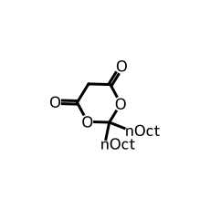 CCCCCCCCC1(CCCCCCCC)OC(=O)CC(=O)O1